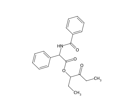 CCC(=O)C(CC)OC(=O)C(NC(=O)c1ccccc1)c1ccccc1